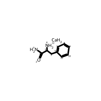 NC(=O)C(N)Cc1ccccc1.[CaH2]